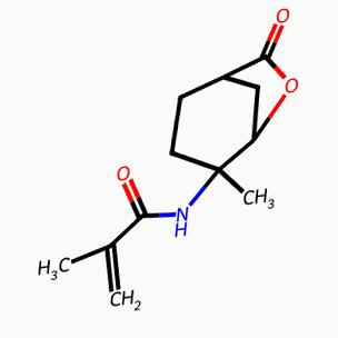 C=C(C)C(=O)NC1(C)CCC2CC1OC2=O